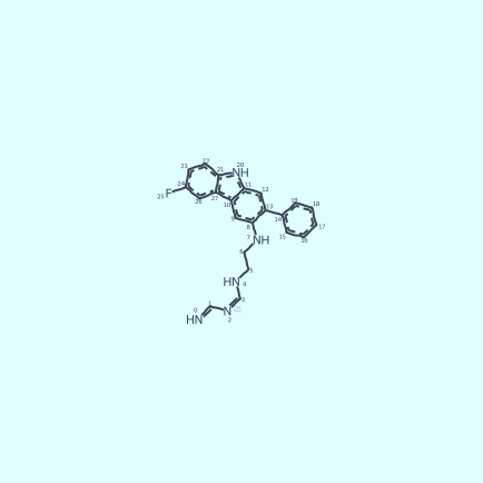 N=C/N=C\NCCNc1cc2c(cc1-c1ccccc1)[nH]c1ccc(F)cc12